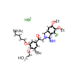 Br.CCOc1cc2c(c(F)c1OCC)C(=N)N(CC(=O)c1cc(OCCCCNC(C)=O)c(OCC(=O)O)c(C(C)(C)C)c1)C2